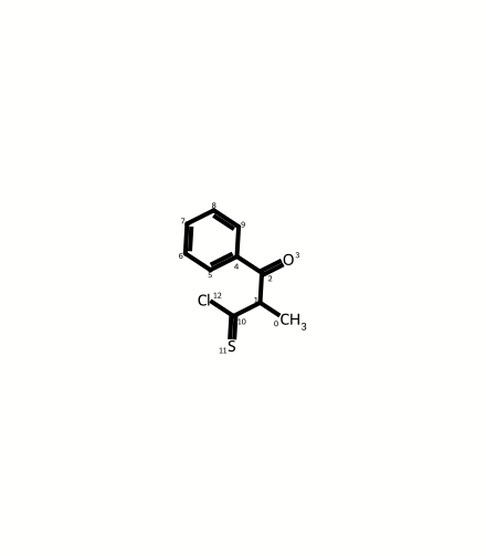 CC(C(=O)c1ccccc1)C(=S)Cl